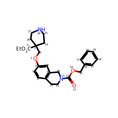 CCOC(=O)C1(COc2ccc3c(c2)CN(C(=O)OCc2ccccc2)CC3)CCNCC1